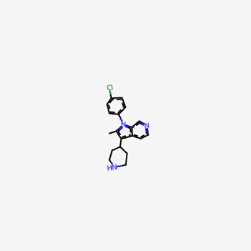 Cc1c(C2CCNCC2)c2ccncc2n1-c1ccc(Cl)cc1